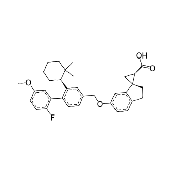 COc1ccc(F)c(-c2ccc(COc3ccc4c(c3)[C@]3(CC4)C[C@H]3C(=O)O)cc2[C@H]2CCCCC2(C)C)c1